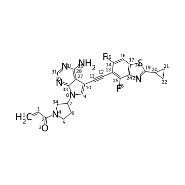 C=CC(=O)N1CCC(n2cc(C#Cc3c(F)cc4sc(C5CC5)nc4c3F)c3c(N)ncnc32)C1